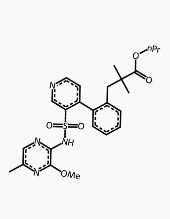 CCCOC(=O)C(C)(C)Cc1ccccc1-c1ccncc1S(=O)(=O)Nc1ncc(C)nc1OC